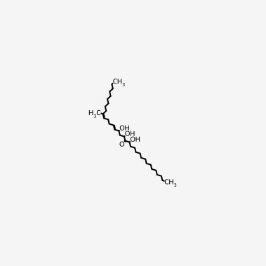 CCCCCCCCCCCCCCC(O)C(=O)C(O)CC(O)C=CCCC=C(C)CCCCCCCCC